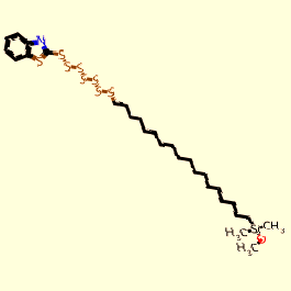 CO[Si](C)(C)CCCCCCCCCCCCCCCCCCSSSSSSSc1nc2ccccc2s1